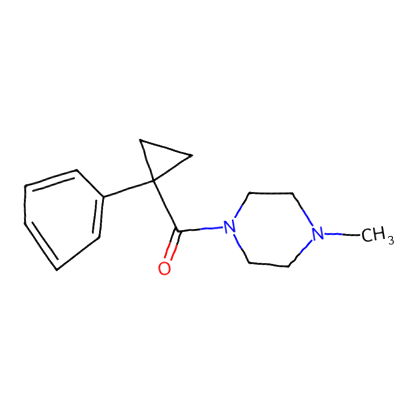 CN1CCN(C(=O)C2(c3ccccc3)CC2)CC1